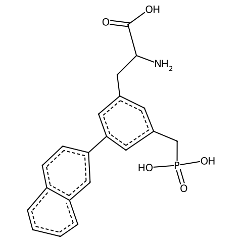 NC(Cc1cc(CP(=O)(O)O)cc(-c2ccc3ccccc3c2)c1)C(=O)O